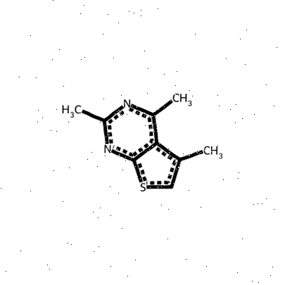 Cc1nc(C)c2c(C)csc2n1